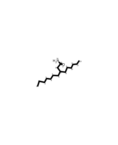 CCCCCCCC(CCCCCC)CC(N)=O